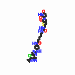 O=C1CCC(N2Cc3cc(CNC(=O)NCCCCCCC(=O)N[C@H]4CC[C@H](Nc5ncc(Cl)c(-c6cn[nH]c6CC6CC6)n5)CC4)sc3C2=O)C(=O)N1